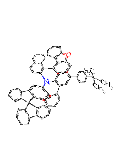 CC(C)(C)c1ccc(-c2ccc(N(c3ccc4c(c3)-c3ccccc3C43c4ccccc4-c4ccccc43)c3ccc4ccccc4c3-c3cccc4oc5ccccc5c34)c(-c3ccccc3)c2)cc1